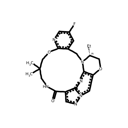 CC[C@@H]1COc2cn3ncc4c3nc2N1Cc1cc(F)cnc1OCC(C)(C)CNC4=O